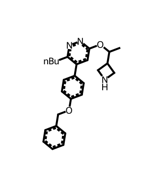 CCCCc1nnc(OC(C)C2CNC2)cc1-c1ccc(OCc2ccccc2)cc1